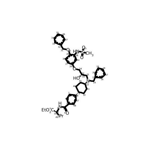 CCOC(=O)[C@@H](NC(=O)c1ccc([C@H]2CC[C@H](N(Cc3ccccc3)C[C@H](O)COc3ccc(OCc4ccccc4)c(NS(C)(=O)=O)c3)CC2)cc1)C(C)C